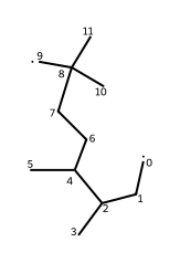 [CH2]CC(C)C(C)CCC([CH2])(C)C